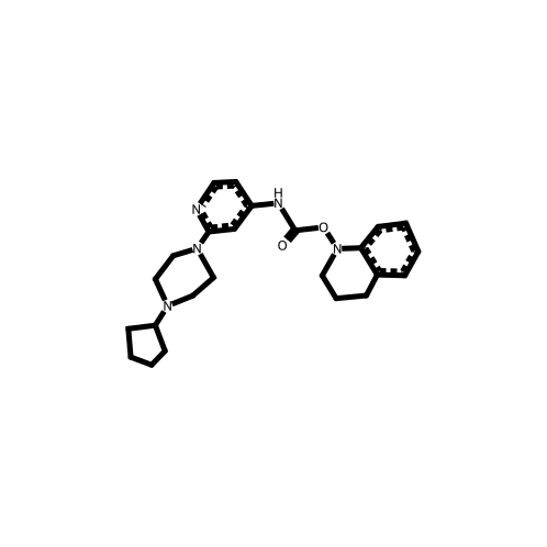 O=C(Nc1ccnc(N2CCN(C3CCCC3)CC2)c1)ON1CCCc2ccccc21